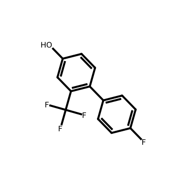 Oc1ccc(-c2ccc(F)cc2)c(C(F)(F)F)c1